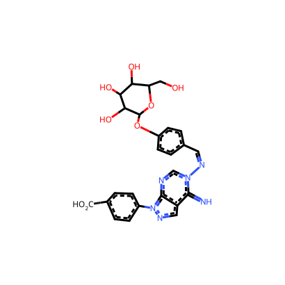 N=c1c2cnn(-c3ccc(C(=O)O)cc3)c2ncn1/N=C\c1ccc(OC2OC(CO)C(O)C(O)C2O)cc1